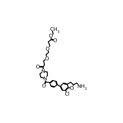 CCOC(=O)CCOCCOCCC(=O)N1CCN(C(=O)c2ccc(-c3cc(Cl)c4c(c3)CC(CN)O4)cc2)CC1